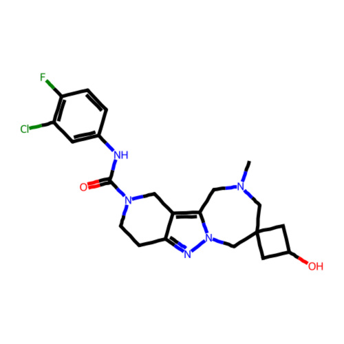 CN1Cc2c3c(nn2CC2(CC(O)C2)C1)CCN(C(=O)Nc1ccc(F)c(Cl)c1)C3